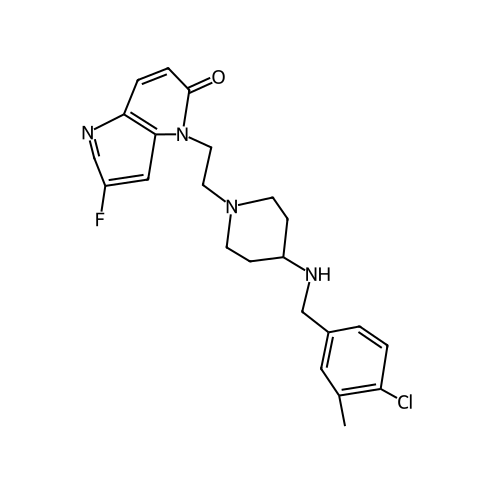 Cc1cc(CNC2CCN(CCn3c(=O)ccc4ncc(F)cc43)CC2)ccc1Cl